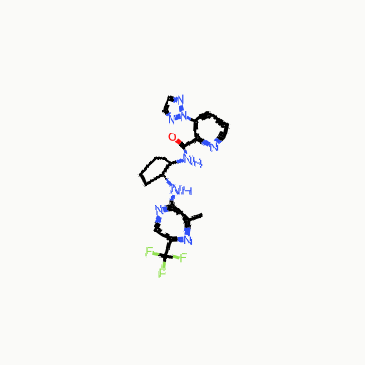 Cc1nc(C(F)(F)F)cnc1N[C@H]1CCCC1NC(=O)c1ncccc1-n1nccn1